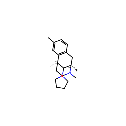 Cc1ccc2c(c1)[C@]1(C)CCN(C)[C@H](C2)C1N1CCCC1